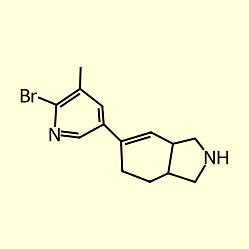 Cc1cc(C2=CC3CNCC3CC2)cnc1Br